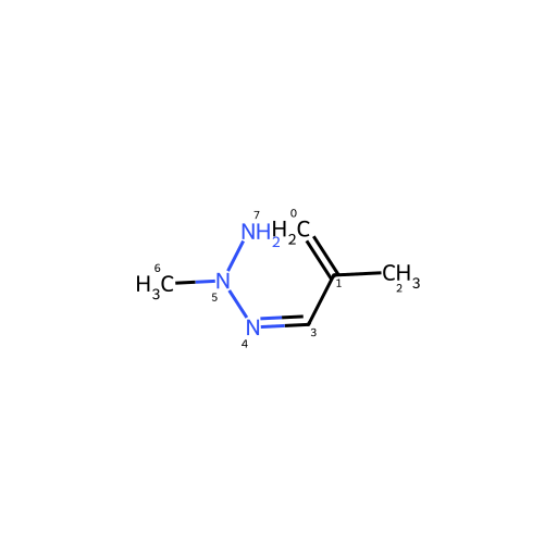 C=C(C)/C=N\N(C)N